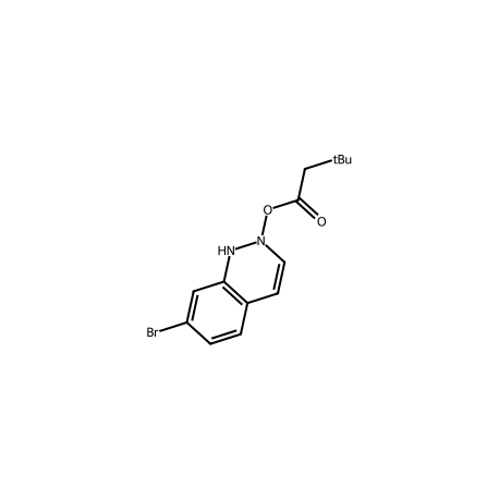 CC(C)(C)CC(=O)ON1C=Cc2ccc(Br)cc2N1